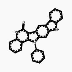 O=c1[nH]c2ccccc2c2c1c1cc3c(cc1n2-c1ccccc1)[nH]c1ccccc13